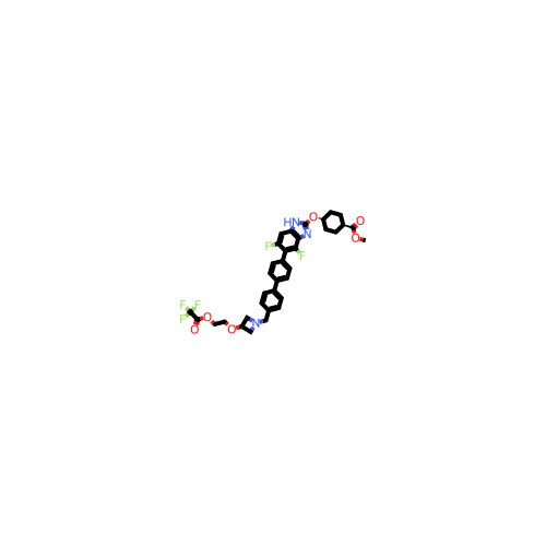 COC(=O)[C@H]1CC[C@H](Oc2nc3c(F)c(-c4ccc(-c5ccc(CN6CC(OCCOC(=O)C(F)(F)F)C6)cc5)cc4)c(F)cc3[nH]2)CC1